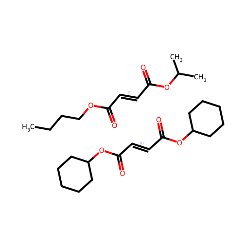 CCCCOC(=O)/C=C/C(=O)OC(C)C.O=C(/C=C/C(=O)OC1CCCCC1)OC1CCCCC1